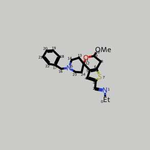 CC/N=C/c1cc2c(s1)CC(OC)OC21CCN(Cc2ccccc2)CC1